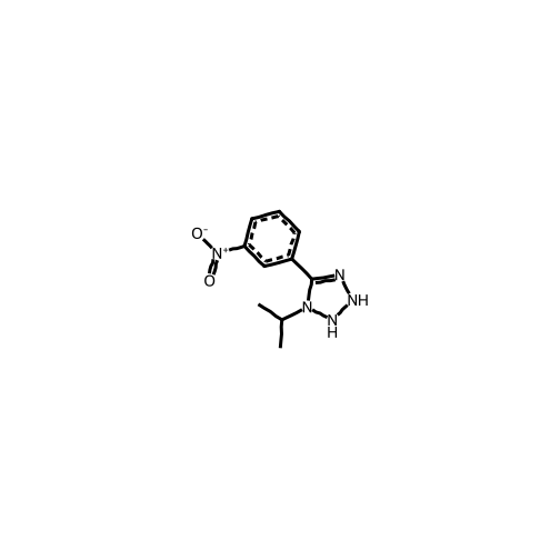 CC(C)N1NNN=C1c1cccc([N+](=O)[O-])c1